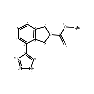 CC(C)(C)OC(=O)N1Cc2cccc(-c3c[nH]nn3)c2C1